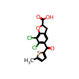 Cc1ccc(C(=O)c2cc3c(c(Cl)c2Cl)OC(C(=O)O)C3)s1